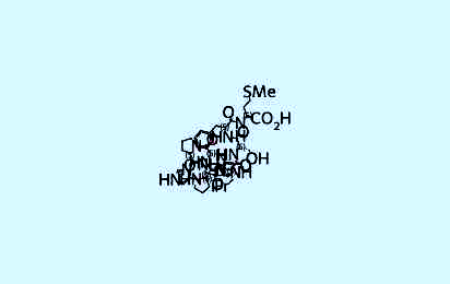 CSCC[C@H](NC(=O)[C@H](Cc1ccccc1)NC(=O)[C@H](CO)NC(=O)[C@H](CC(C)C)NC(=O)[C@H](Cc1c[nH]cn1)NC(=O)[C@@H]1CCCN1C(=O)[C@H](Cc1c[nH]cn1)NC(=O)[C@@H]1CCCN1)C(=O)O